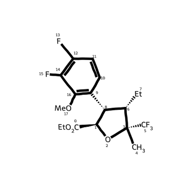 CCOC(=O)[C@@H]1O[C@@](C)(C(F)(F)F)[C@@H](CC)[C@H]1c1ccc(F)c(F)c1OC